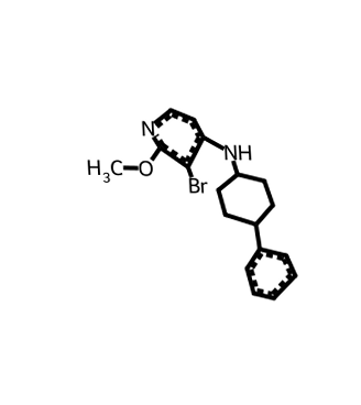 COc1nccc(NC2CCC(c3ccccc3)CC2)c1Br